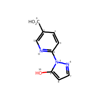 O=C(O)c1ccc(-n2nccc2O)nc1